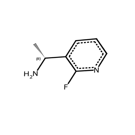 C[C@@H](N)c1cccnc1F